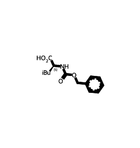 CCC(C)[C@H](NC(=O)OCc1ccccc1)C(=O)O